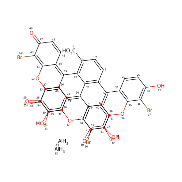 O=C(O)c1ccc(-c2c3ccc(=O)c(Br)c-3oc3c(Br)c(O)ccc23)c(-c2c3ccc(=O)c(Br)c-3oc3c(Br)c(O)ccc23)c1-c1c2ccc(=O)c(Br)c-2oc2c(Br)c(O)ccc12.[AlH3].[AlH3]